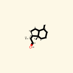 CC1CCC[C@@]2(C)C1CC[C@@H]2[C@@H](C)C=O